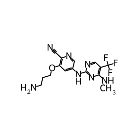 CNc1nc(Nc2cnc(C#N)c(OCCCN)c2)ncc1C(F)(F)F